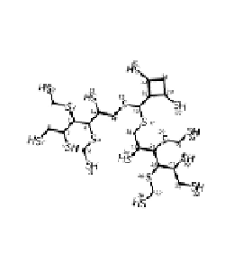 SCSC(C(S)CS)C(SCS)C(S)CSC(SCC(S)C(SCS)C(SCS)C(S)CS)C1C(S)CC1S